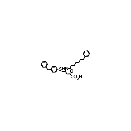 O=C(O)CCC(CSc1ccc(Cc2ccccc2)cc1)NC(=O)CCCCCCc1ccccc1